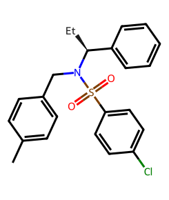 CC[C@@H](c1ccccc1)N(Cc1ccc(C)cc1)S(=O)(=O)c1ccc(Cl)cc1